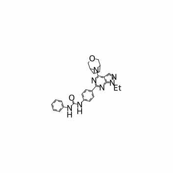 CCn1ncc2c(N3C4CCC3COC4)nc(-c3ccc(NC(=O)Nc4ccccc4)cc3)nc21